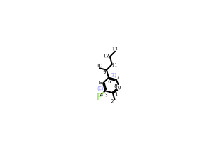 C=C(C)/C(F)=C\C(=C/C)C(C)CCC